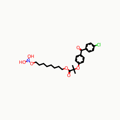 CC(C)(Oc1ccc(C(=O)c2ccc(Cl)cc2)cc1)C(=O)OCCCCCCCCON(O)O